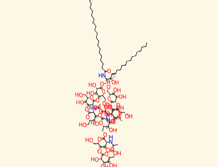 CCCCCCCCCCCCC/C=C/[C@@H](O)[C@H](CO[C@@H]1OC(CO)[C@@H](O[C@@H]2OC(CO)[C@H](O)[C@H](O[C@@H]3OC(CO)[C@@H](O)[C@H](O[C@@H]4OC(CO[C@@H]5OC(CO)[C@@H](O[C@@H]6OC(CO)[C@H](O)[C@H](O)C6O)[C@H](O)C5NC(C)=O)[C@H](O)[C@H](O[C@@H]5OC(CO)[C@@H](O)[C@H](O[C@@H]6OC(CO)[C@H](O)[C@H](O)C6O[C@H]6OC(C)[C@@H](O)C(O)[C@@H]6O)C5NC(C)=O)C4O)C3NC(C)=O)C2O)[C@H](O)C1O)NC(=O)CCCCCCCCCCCCCCCCCCC